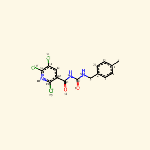 Cc1ccc(CNC(=O)NC(=O)c2cc(Cl)c(Cl)nc2Cl)cc1